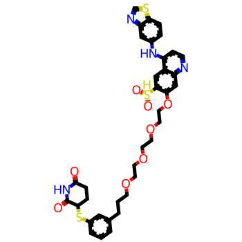 O=C1CCC(Sc2cccc(CCCOCCOCCOCCOc3cc4nccc(Nc5ccc6scnc6c5)c4cc3[SH](=O)=O)c2)C(=O)N1